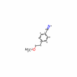 COCCc1ccc(C#N)cc1